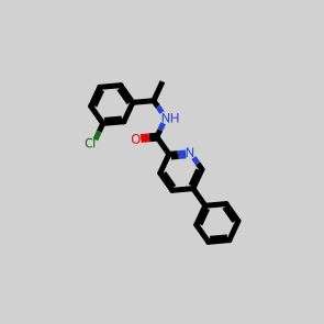 CC(NC(=O)c1ccc(-c2ccccc2)cn1)c1cccc(Cl)c1